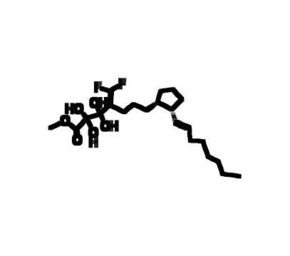 CCCCCCC=C[C@H]1CCC[C@@H]1CCCC(=C(F)F)C(O)(O)C(O)(O)C(=O)OC